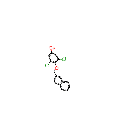 Oc1cc(Cl)c(OCc2ccc3ccccc3c2)c(Cl)c1